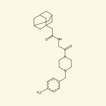 Cc1ccc(CN2CCN(C(=O)CNC(=O)CC34CC5CC(CC(C5)C3)C4)CC2)cc1